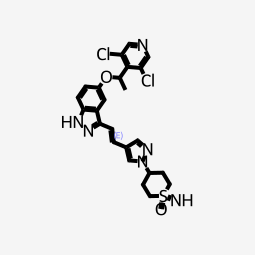 CC(Oc1ccc2[nH]nc(/C=C/c3cnn(C4CCS(=N)(=O)CC4)c3)c2c1)c1c(Cl)cncc1Cl